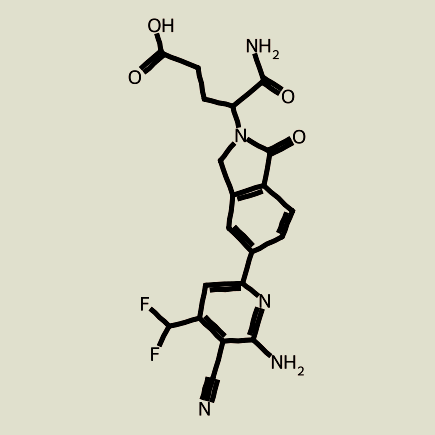 N#Cc1c(C(F)F)cc(-c2ccc3c(c2)CN(C(CCC(=O)O)C(N)=O)C3=O)nc1N